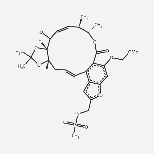 COCOc1cc2oc(CNS(C)(=O)=O)cc2c2c1C(=O)O[C@@H](C)[C@H](C)/C=C\C(O)[C@H]1OC(C)(C)O[C@H]1C/C=C/2